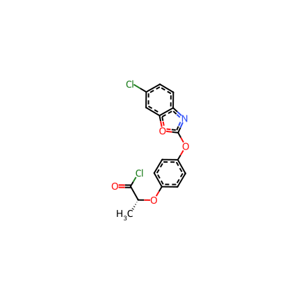 C[C@@H](Oc1ccc(Oc2nc3ccc(Cl)cc3o2)cc1)C(=O)Cl